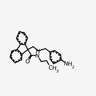 CCCNC(=O)C1(CCCc2ccc(N)cc2)c2ccccc2-c2ccccc21